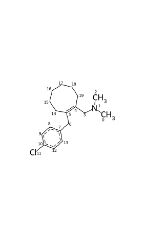 CN(C)CC1=C(Cc2ccc(Cl)cc2)CCCCCC1